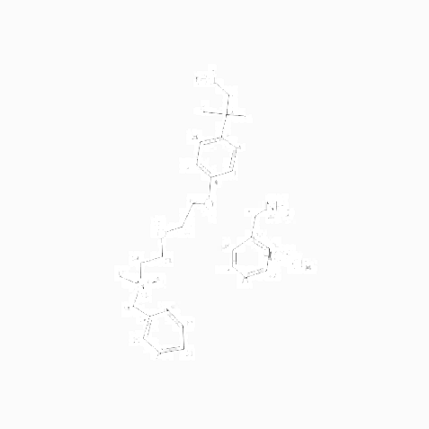 CC(C)(C)CC(C)(C)c1ccc(OCCOCC[N+](C)(C)Cc2ccccc2)cc1.Cl.NCc1ccccc1.[Cl-]